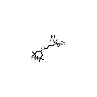 CCO[Si](C)(CCCOC1CC(C)(C)NC(C)(C)C1)OCC